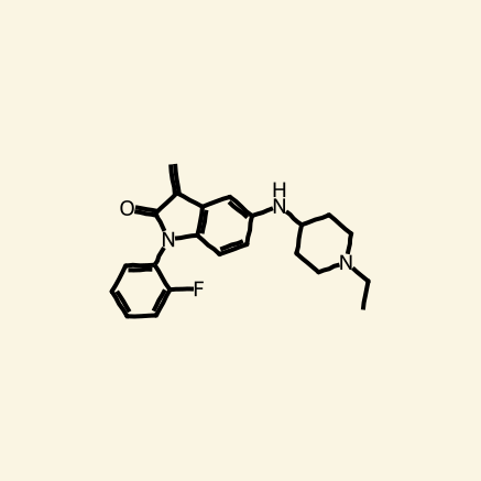 C=C1C(=O)N(c2ccccc2F)c2ccc(NC3CCN(CC)CC3)cc21